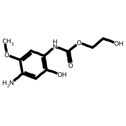 COc1cc(NC(=O)OCCO)c(O)cc1N